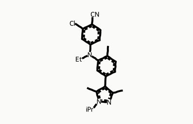 CCN(c1ccc(C#N)c(Cl)c1)c1cc(-c2c(C)nn(C(C)C)c2C)ccc1C